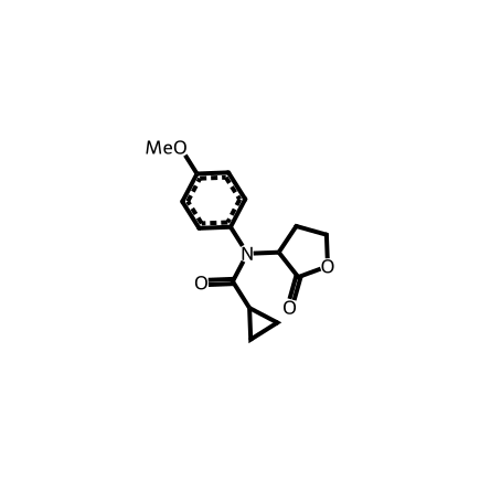 COc1ccc(N(C(=O)C2CC2)C2CCOC2=O)cc1